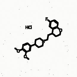 COc1ccc(C2CCN(CCC3CCOc4ccc(F)cc43)CC2)cc1OC.Cl